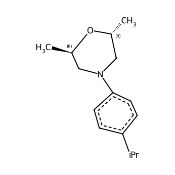 CC(C)c1ccc(N2C[C@@H](C)O[C@H](C)C2)cc1